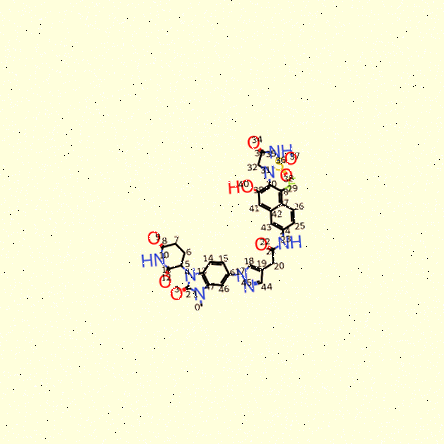 Cn1c(=O)n(C2CCC(=O)NC2=O)c2ccc(-n3cc(CC(=O)Nc4ccc5c(F)c(N6CC(=O)NS6(=O)=O)c(O)cc5c4)cn3)cc21